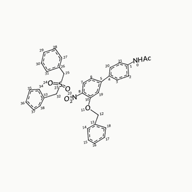 CC(=O)Nc1ccc(-c2ccc([N+](=O)[O-])c(OCc3ccccc3)c2)cc1.O=S(=O)(Cc1ccccc1)Cc1ccccc1